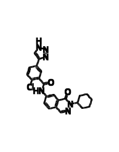 O=C(Nc1ccc2cnn(C3CCCCC3)c(=O)c2c1)c1cc(-c2c[nH]nn2)ccc1Cl